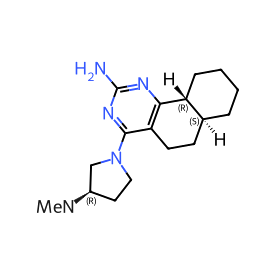 CN[C@@H]1CCN(c2nc(N)nc3c2CC[C@@H]2CCCC[C@@H]32)C1